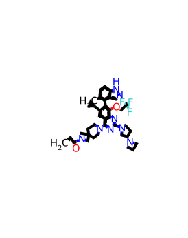 C=CC(=O)N1CC2(CCN(c3nc(N4CC[C@H](N5CCC5)C4)nc4c(OCC(F)(F)F)c(-c5c(C)ccc6[nH]ncc56)c(C5CC5)cc34)CC2)C1